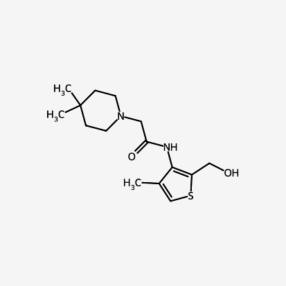 Cc1csc(CO)c1NC(=O)CN1CCC(C)(C)CC1